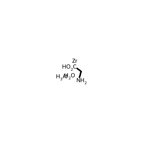 NCC(=O)O.O.[AlH3].[Zr]